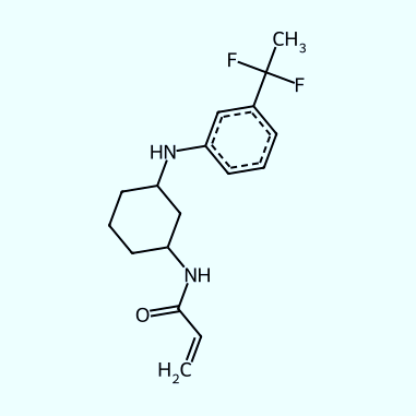 C=CC(=O)NC1CCCC(Nc2cccc(C(C)(F)F)c2)C1